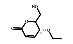 CCO[C@@H]1C=CC(=O)OC1CO